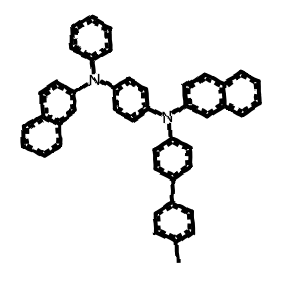 Cc1ccc(-c2ccc(N(c3ccc(N(c4ccccc4)c4ccc5ccccc5c4)cc3)c3ccc4ccccc4c3)cc2)cc1